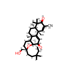 CC1(C)CC[C@]2(CO)CC[C@@]3(C)[C@]4(C)CC[C@H]5C(C)(C)C(=O)C(C#N)=C[C@]5(C)C4=CC(=O)[C@@]3(CC1)O2